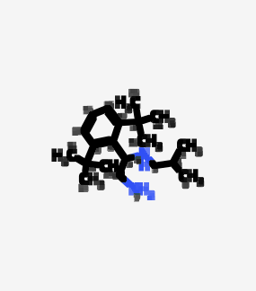 CC(C)CNC(CN)c1c(C(C)(C)C)cccc1C(C)(C)C